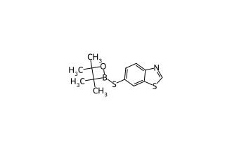 CC1(C)OB(Sc2ccc3ncsc3c2)C1(C)C